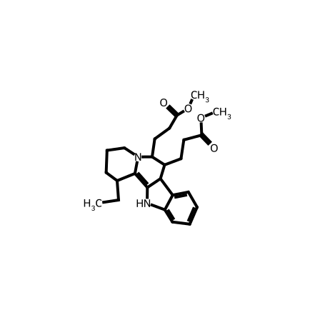 CCC1CCCN2C1=C1Nc3ccccc3C1C(CCC(=O)OC)C2CCC(=O)OC